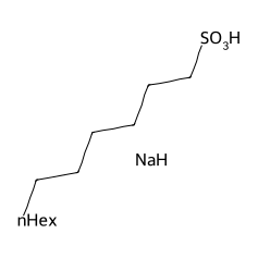 CCCCCCCCCCCCS(=O)(=O)O.[NaH]